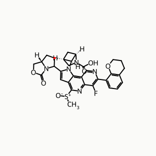 C[S+]([O-])c1nc2c(F)c(-c3cccc4c3OCCC4)ncc2c2c1cc(C1CC[C@H]3COC(=O)N13)n2[C@H]1[C@@H]2C[C@H]1N(C(=O)O)C2